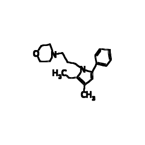 CCc1c(C)cc(-c2ccccc2)n1CCCN1CCOCC1